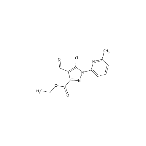 CCOC(=O)c1nn(-c2cccc(C)n2)c(Cl)c1C=O